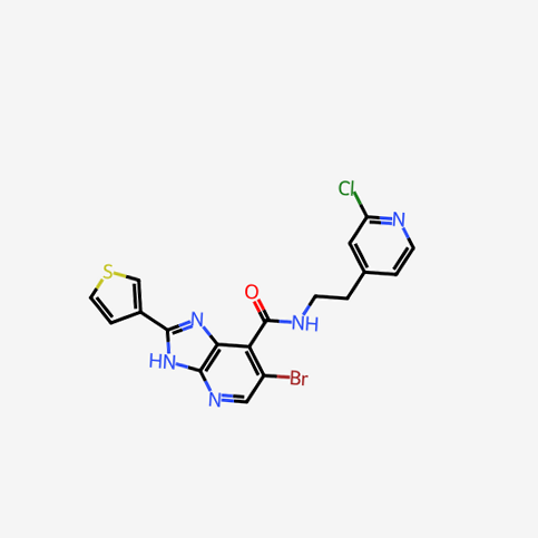 O=C(NCCc1ccnc(Cl)c1)c1c(Br)cnc2[nH]c(-c3ccsc3)nc12